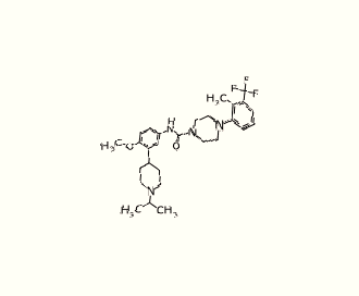 COc1ccc(NC(=O)N2CCN(c3cccc(C(F)(F)F)c3C)CC2)cc1C1CCN(C(C)C)CC1